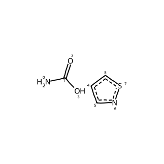 NC(=O)O.c1cnsc1